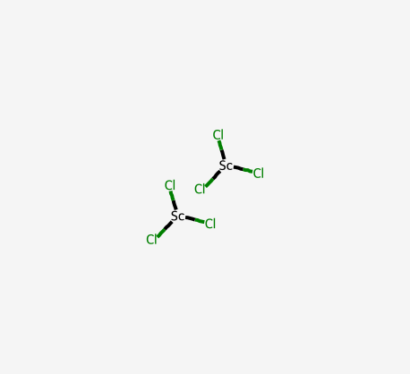 [Cl][Sc]([Cl])[Cl].[Cl][Sc]([Cl])[Cl]